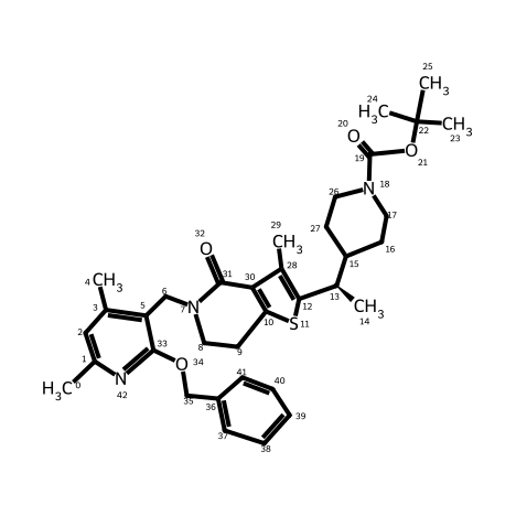 Cc1cc(C)c(CN2CCc3sc([C@H](C)C4CCN(C(=O)OC(C)(C)C)CC4)c(C)c3C2=O)c(OCc2ccccc2)n1